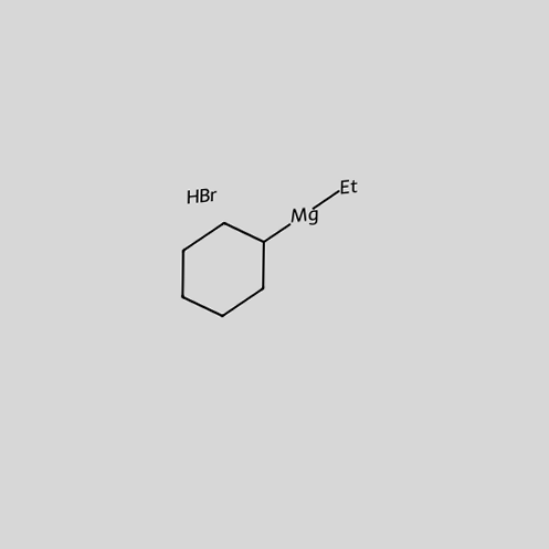 Br.C[CH2][Mg][CH]1CCCCC1